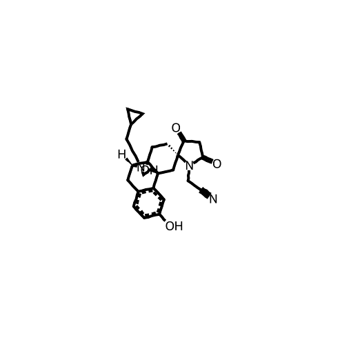 N#CCN1C(=O)CC(=O)[C@@]12CC[C@@]1(O)[C@H]3Cc4ccc(O)cc4[C@@]1(CCN3CC1CC1)C2